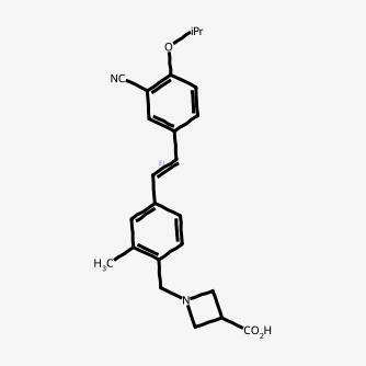 Cc1cc(/C=C/c2ccc(OC(C)C)c(C#N)c2)ccc1CN1CC(C(=O)O)C1